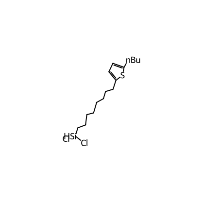 CCCCc1ccc(CCCCCCCC[SiH](Cl)Cl)s1